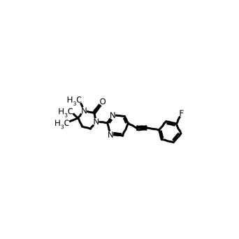 CN1C(=O)N(c2ncc(C#Cc3cccc(F)c3)cn2)CCC1(C)C